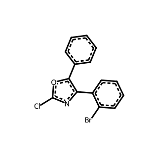 Clc1nc(-c2ccccc2Br)c(-c2ccccc2)o1